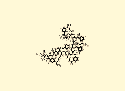 C[C@@H](c1ccccc1)N(CC(=O)N(CCCCN)CC(=O)N(CC(=O)N(CC(=O)C(C)(C)C)[C@@H](C)c1ccccc1)[C@@H](C)c1ccccc1)C(=O)CN(CCCCN)C(=O)CN(C(=O)CN(C(=O)CN(CCCCN)C(=O)CN(C(=O)CN(CCCCN)C(=O)CN([C@@H](C)c1ccccc1)C(C)(C)C)[C@@H](C)c1ccccc1)[C@@H](C)c1ccccc1)[C@@H](C)c1ccccc1